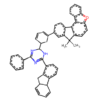 CC1(C)c2cc(C3=CC=CC(C4N=C(c5ccccc5)N=C(c5cccc6c5CC5C=CC=CC65)N4)C3)ccc2-c2c1ccc1oc3ccccc3c21